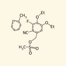 CCOc1cc(COS(C)(=O)=O)c(C#N)c(F)c1OCC.Cc1ccccc1